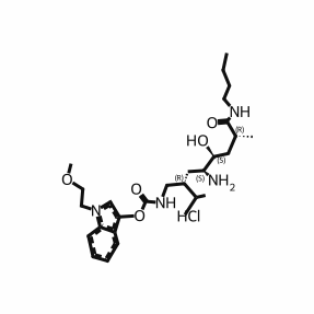 CCCCNC(=O)[C@H](C)C[C@H](O)[C@@H](N)C[C@@H](CNC(=O)Oc1cn(CCOC)c2ccccc12)C(C)C.Cl